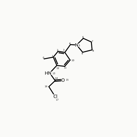 Cc1cc(CN2CCCC2)ccc1NC(=O)CCl